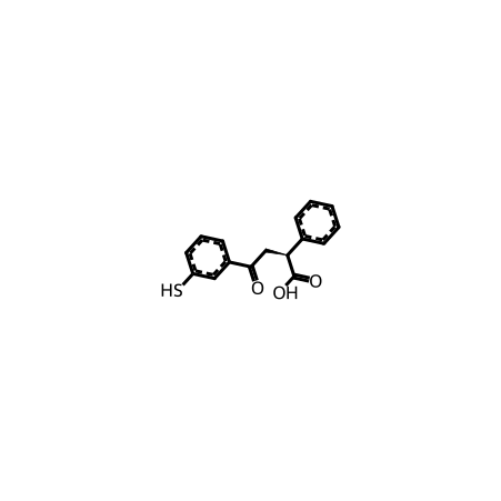 O=C(C[C@H](C(=O)O)c1ccccc1)c1cccc(S)c1